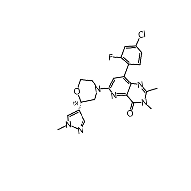 Cc1nc2c(-c3ccc(Cl)cc3F)cc(N3CCO[C@@H](c4cnn(C)c4)C3)nc2c(=O)n1C